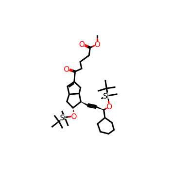 COC(=O)CCCC(=O)C1=CC2C[C@@H](O[Si](C)(C)C(C)(C)C)[C@H](C#C[C@@H](O[Si](C)(C)C(C)(C)C)C3CCCCC3)C2C1